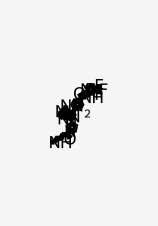 CNC/C=C/C(=O)N1CC[C@@H](n2nc(-c3ccc(C(=O)Nc4cc(C(F)(F)F)ccn4)cc3)c3c(N)ncnc32)C1